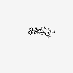 CC(C)CCN(CC(=O)NO)C(=O)CC(C)(C)CNC(=O)Nc1cccc2cccnc12